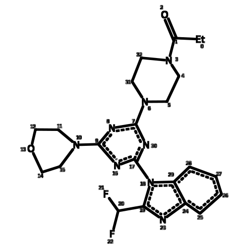 CCC(=O)N1CCN(c2nc(N3CCOCC3)nc(-n3c(C(F)F)nc4ccccc43)n2)CC1